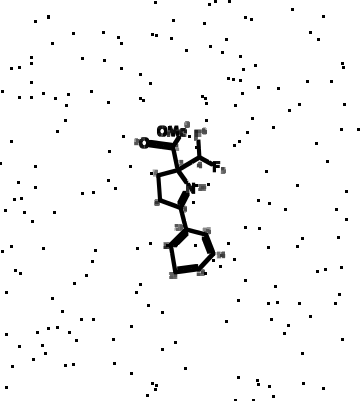 COC(=O)C1(C(F)F)CCC(c2ccccc2)=N1